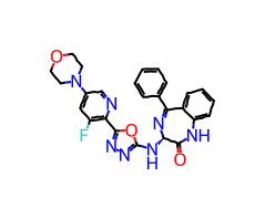 O=C1Nc2ccccc2C(c2ccccc2)=N[C@@H]1Nc1nnc(-c2ncc(N3CCOCC3)cc2F)o1